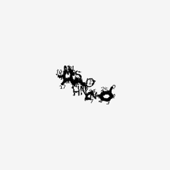 Cc1cccc(N2CCC(NC(=O)c3cc4c(C)c(C)nnc4s3)C2)c1